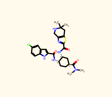 CN(C)C(=O)[C@H]1CC[C@H](NC(=O)c2cc3cc(Cl)ccc3[nH]2)[C@H](NC(=O)c2nc3c(s2)CC(C)(C)NC3)C1